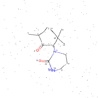 CC(C)C(=O)C(N1CCCNC1=O)C(C)(C)C